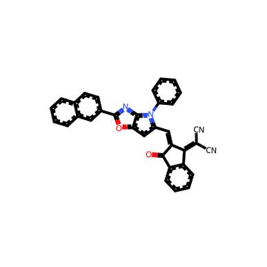 N#CC(C#N)=C1/C(=C/c2cc3oc(-c4ccc5ccccc5c4)nc3n2-c2ccccc2)C(=O)c2ccccc21